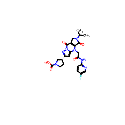 CC(C)N1Cc2c(n(CC(=O)Nc3ccc(F)cn3)c3cc([C@@H]4CCN(C(=O)O)C4)nn3c2=O)C1=O